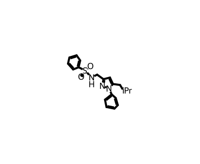 CC(C)Cc1cc(CNS(=O)(=O)c2ccccc2)nn1-c1ccccc1